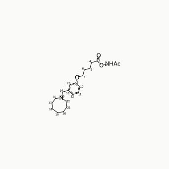 CC(=O)NOC(=O)CCCCOc1cccc(CN2CCCCCCC2)c1